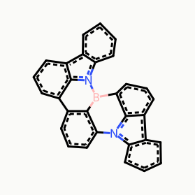 c1cc2c3c(c1)-n1c4ccccc4c4cccc(c41)B3n1c3ccccc3c3cccc-2c31